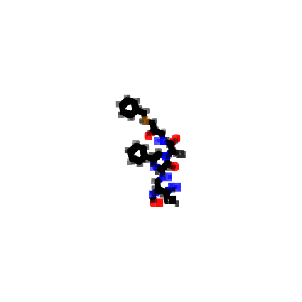 CCC(C(=O)NCC(=O)CSCc1ccccc1)n1cc(-c2ccccc2)nc(NC/C(=N/O)C(C)=N)c1=O